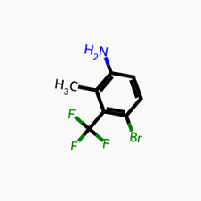 Cc1c(N)ccc(Br)c1C(F)(F)F